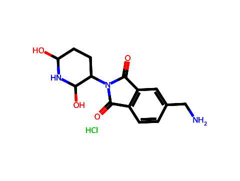 Cl.NCc1ccc2c(c1)C(=O)N(C1CCC(O)NC1O)C2=O